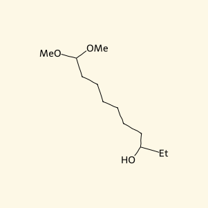 CCC(O)CCCCCCC(OC)OC